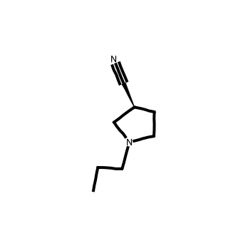 CCCN1CC[C@H](C#N)C1